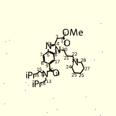 COC(=O)Cc1nc2ccc(C(=O)N(CC(C)C)CC(C)C)cc2n1CCCN1CCCCC1